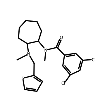 CN(Cc1cccs1)C1CCCCCC1N(C)C(=O)c1cc(Cl)cc(Cl)c1